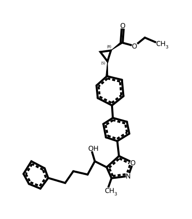 CCOC(=O)[C@@H]1C[C@@H]1c1ccc(-c2ccc(-c3onc(C)c3C(O)CCCc3ccccc3)cc2)cc1